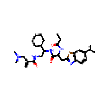 C=C(CN(C)C)C(=O)NCC(NC(=O)C(Cc1nc2ccc(C(C)C)cc2s1)NC(=O)CC)C1CCCCC1